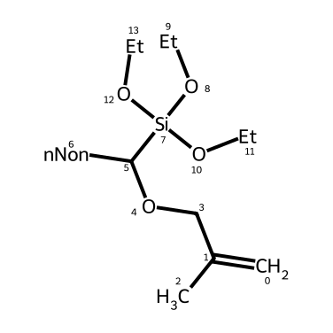 C=C(C)COC(CCCCCCCCC)[Si](OCC)(OCC)OCC